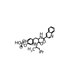 CC(C)CC(C)NC(=O)C(Cc1ccc(OP(=O)(O)O)cc1)NC(=O)c1cnc2ccccc2c1